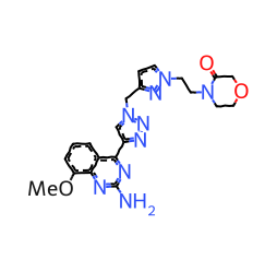 COc1cccc2c(-c3cn(Cc4ccn(CCN5CCOCC5=O)n4)nn3)nc(N)nc12